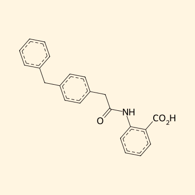 O=C(Cc1ccc(Cc2ccccc2)cc1)Nc1ccccc1C(=O)O